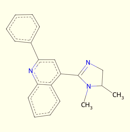 CC1CN=C(c2cc(-c3ccccc3)nc3ccccc23)N1C